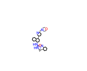 Nc1ccccc1C1CC1NC(=O)Nc1ccc(-c2ccc(CN3CCOCC3)nc2)c2ccccc12